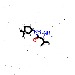 CC(C)[C@@H](N)C(=O)N[C@@H]1CCC(C)(C)C1